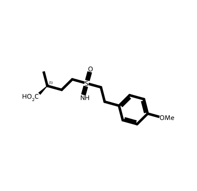 COc1ccc(CCS(=N)(=O)CC[C@H](C)C(=O)O)cc1